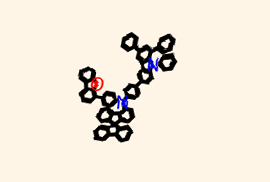 c1ccc(-c2cc(-c3ccccc3)c3c(c2)c2cc(-c4ccc(N(c5ccc(-c6cccc7c6oc6ccccc67)cc5)c5cccc6c5-c5ccccc5C65c6ccccc6-c6ccccc65)cc4)ccc2n3-c2ccccc2)cc1